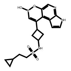 O=S(=O)(CCC1CC1)NC1CC(C2=CB(O)Oc3cnc4[nH]ccc4c32)C1